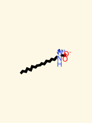 CCCCCCCCCCCCCCCCNC(C(=O)[O-])[N+](C)(C)C